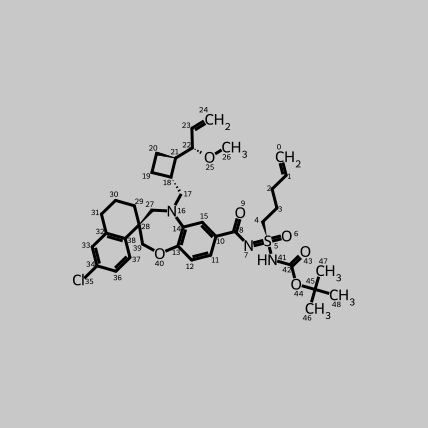 C=CCCC[S@](=O)(=NC(=O)c1ccc2c(c1)N(C[C@@H]1CC[C@H]1[C@H](C=C)OC)C[C@@]1(CCCc3cc(Cl)ccc31)CO2)NC(=O)OC(C)(C)C